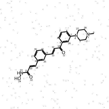 CN1CCN(c2cccc(C(=O)C=Cc3cccc(C=CC(=O)NO)c3)c2)CC1